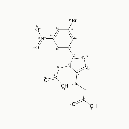 O=C(O)CSc1nnc(-c2cc(Br)cc([N+](=O)[O-])c2)n1CC(=O)O